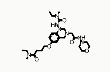 CCN(C)C(=O)CCCOc1ccc2c(c1)CN(CC(=O)NN1CCOCC1)CN2NC(=O)N(C)CC